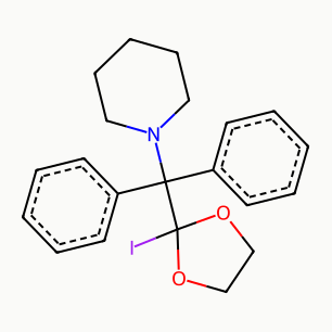 IC1(C(c2ccccc2)(c2ccccc2)N2CCCCC2)OCCO1